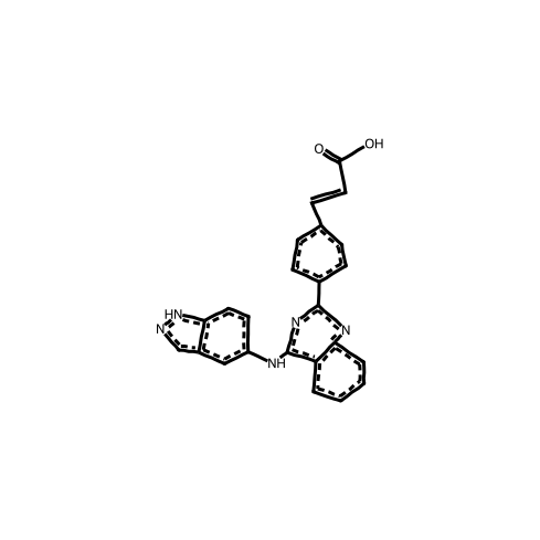 O=C(O)C=Cc1ccc(-c2nc(Nc3ccc4[nH]ncc4c3)c3ccccc3n2)cc1